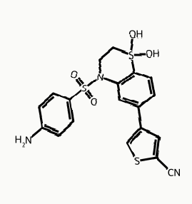 N#Cc1cc(-c2ccc3c(c2)N(S(=O)(=O)c2ccc(N)cc2)CCS3(O)O)cs1